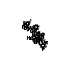 C[C@@H]1CN(C(=O)[C@H](C)NC(=O)[C@@H]2CCCCN2C(=O)[C@@H]2CCCN2C(=O)[C@@H](NC(=O)[C@H](Cc2cc(F)cc(F)c2)NC(=O)OC(C)(C)C)[C@H](C)O)C2(CC2=O)C1